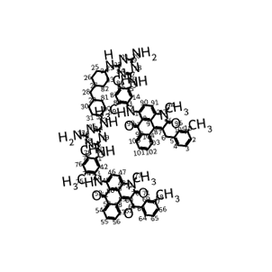 Cc1cccc(Cc2c3c4c(c(Nc5cc(Nc6nc(N)nc(NC7CCC(CC8CCC(Nc9nc(N)nc(Nc%10cc(Nc%11ccc%12c%13c%11C(=O)c%11ccccc%11-c%13c(C(=O)c%11cccc(C)c%11)c(=O)n%12C)c(C)cc%10C)n9)CC8)CC7)n6)c(C)cc5C)ccc4n(C)c2=O)C(=O)c2ccccc2-3)c1